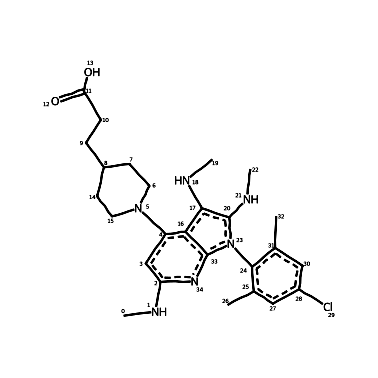 CNc1cc(N2CCC(CCC(=O)O)CC2)c2c(NC)c(NC)n(-c3c(C)cc(Cl)cc3C)c2n1